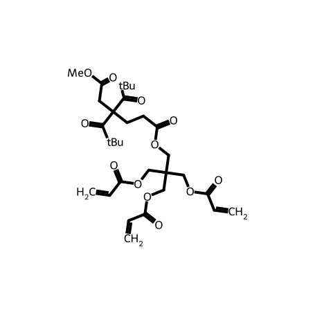 C=CC(=O)OCC(COC(=O)C=C)(COC(=O)C=C)COC(=O)CCC(CC(=O)OC)(C(=O)C(C)(C)C)C(=O)C(C)(C)C